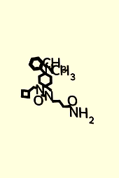 CN(C)C1(c2ccccc2)CCC2(CC1)CN(CCCC(N)=O)C(=O)N2CC1CCC1